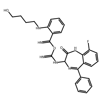 N=C(NC1N=C(c2ccccc2)c2cccc(F)c2NC1=O)OC(=N)c1ccccc1NCCCCO